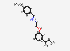 COc1ccc(CNCCOc2cccc([C](CC(C)C)C(C)C)c2)cc1